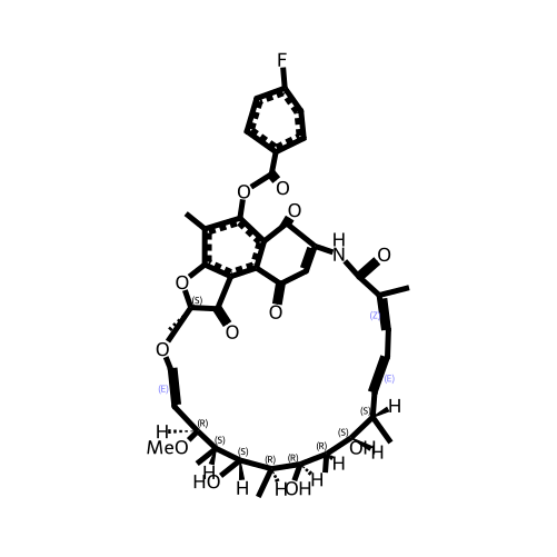 CO[C@H]1/C=C/O[C@@]2(C)Oc3c(C)c(OC(=O)c4ccc(F)cc4)c4c(c3C2=O)C(=O)C=C(NC(=O)/C(C)=C\C=C\[C@H](C)[C@H](O)[C@@H](C)[C@@H](O)[C@@H](C)[C@H](O)[C@@H]1C)C4=O